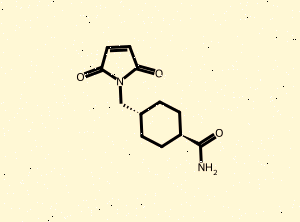 NC(=O)[C@H]1CC[C@H](CN2C(=O)C=CC2=O)CC1